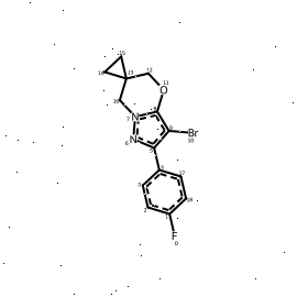 Fc1ccc(-c2nn3c(c2Br)OCC2(CC2)C3)cc1